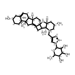 CC1OC(n2cc(CN3C[C@@H](C)C[C@H]4O[C@@]56CC[C@@H]7C(=C5C[C@@H]6[C@@H]43)C[C@H]3[C@H]7CC=C4C[C@@H](O)CC[C@@]43C)nn2)C(O)C(O)[C@H]1O